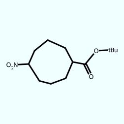 CC(C)(C)OC(=O)C1CCCC([N+](=O)[O-])CCC1